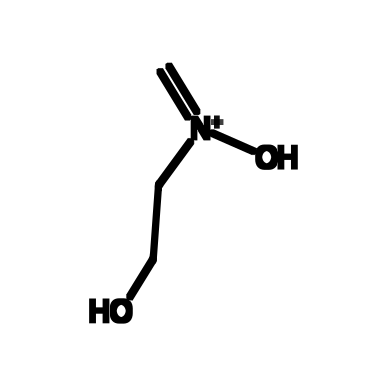 C=[N+](O)CCO